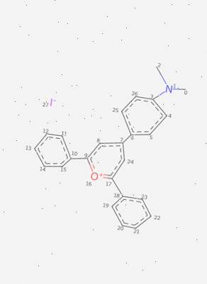 CN(C)c1ccc(-c2cc(-c3ccccc3)[o+]c(-c3ccccc3)c2)cc1.[I-]